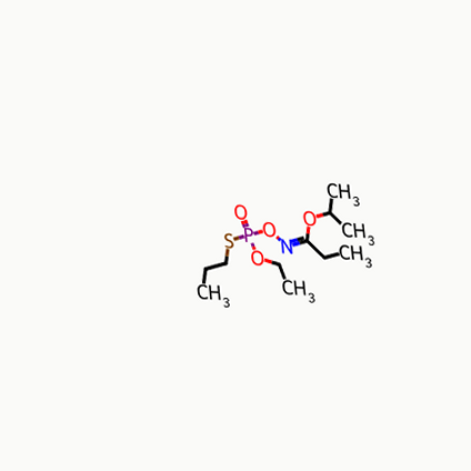 CCCSP(=O)(OCC)ON=C(CC)OC(C)C